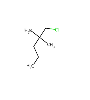 BC(C)(CCl)CCC